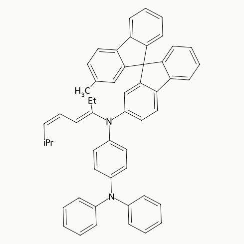 CC/C(=C\C=C/C(C)C)N(c1ccc(N(c2ccccc2)c2ccccc2)cc1)c1ccc2c(c1)C1(c3ccccc3-c3ccc(C)cc31)c1ccccc1-2